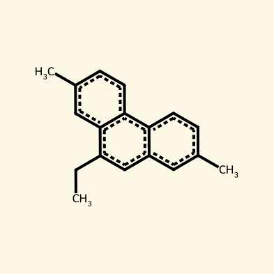 CCc1cc2cc(C)ccc2c2ccc(C)cc12